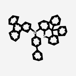 c1ccc(-c2ccc(N(c3ccc4c5ccccc5c5ccccc5c4c3)c3cccc4c3Sc3ccccc3C4(c3ccccc3)c3ccccc3)cc2)cc1